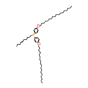 CCCCCCCCCCCCCCCCCCOc1ccc(P(CCCCCCCCCC)c2ccc(OCCCCCCCCCCCCCCCCCC)cc2)cc1